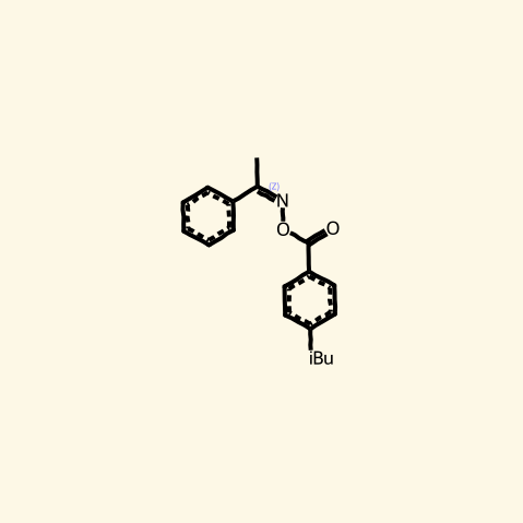 CCC(C)c1ccc(C(=O)O/N=C(/C)c2ccccc2)cc1